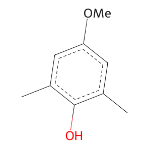 COc1cc(C)c(O)c(C)c1